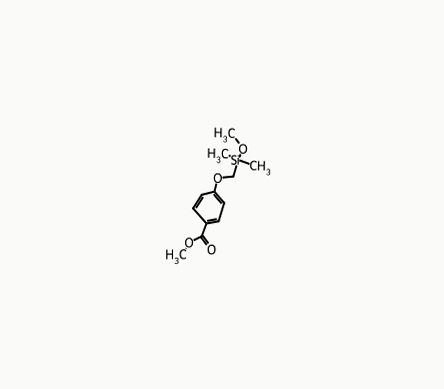 COC(=O)c1ccc(OC[Si](C)(C)OC)cc1